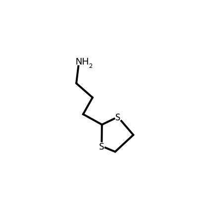 NCCCC1SCCS1